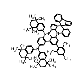 Cc1cc(C)c(-c2cc3c4c(c2)N2c5ccccc5C5(c6ccccc6-c6ccccc65)c5cccc(c52)B4N(c2ccc4c(c2)C(C)(C)CCC4(C)C)c2ccc(N(c4ccc5c(c4)C(C)(C)CCC5(C)C)c4ccc5c(c4)C(C)(C)CCC5(C)C)cc2-3)c(C)c1